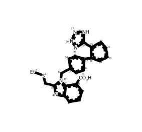 CCSCc1nc2cccc(C(=O)O)c2n1Cc1ccc(-c2ccccc2-c2nnn[nH]2)cc1